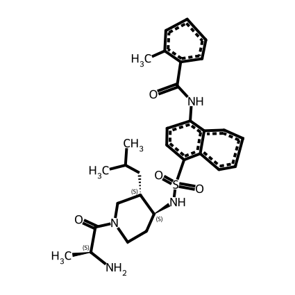 Cc1ccccc1C(=O)Nc1ccc(S(=O)(=O)N[C@H]2CCN(C(=O)[C@H](C)N)C[C@@H]2CC(C)C)c2ccccc12